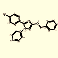 Fc1ccc(-c2nc(OCc3ccccc3)cn2-c2ccncc2)cc1